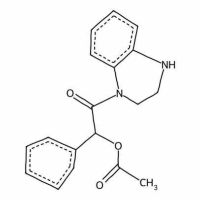 CC(=O)OC(C(=O)N1CCNc2ccccc21)c1ccccc1